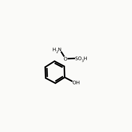 NOS(=O)(=O)O.Oc1ccccc1